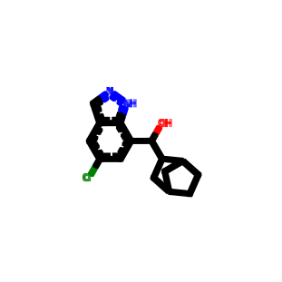 OC(c1cc(Cl)cc2cn[nH]c12)C1CC2CCC1C2